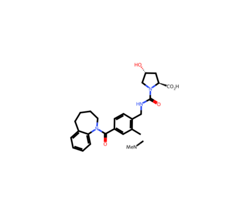 CNC.Cc1cc(C(=O)N2CCCCc3ccccc32)ccc1CNC(=O)N1C[C@H](O)C[C@H]1C(=O)O